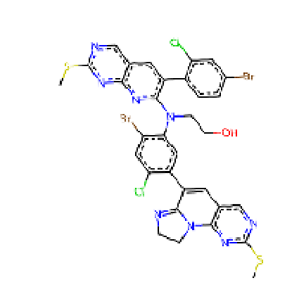 CSc1ncc2c(n1)N1CCN=C1C(c1cc(N(CCO)c3nc4nc(SC)ncc4cc3-c3ccc(Br)cc3Cl)c(Br)cc1Cl)=C2